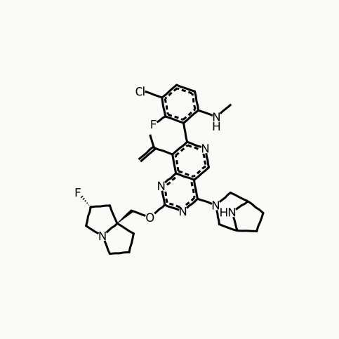 C=C(C)c1c(-c2c(NC)ccc(Cl)c2F)ncc2c(N3CC4CCC(C3)N4)nc(OC[C@@]34CCCN3C[C@H](F)C4)nc12